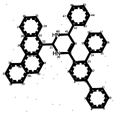 C1=C(c2ccc(-c3ccccc3)cc2-c2ccccc2)NC(c2c3ccccc3cc3c2ccc2ccccc23)NC1c1ccccc1